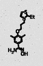 CCC1SC=CN1CCCOc1c(C)cc(C(N)=NO)cc1C